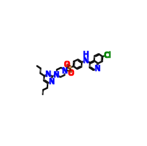 CCCc1cc(CCC)nc(N2CCN(S(=O)(=O)c3ccc(Nc4ccnc5cc(Cl)ccc45)cc3)CC2)n1